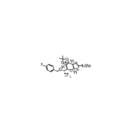 CNC1=N[C@@H]2[C@H]3OC(C)(C)O[C@@H]3C([C@@H](OCc3ccc(F)cc3)C(F)(F)F)O[C@@H]2S1